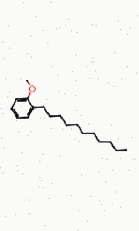 CCCCCCCCCCCc1ccccc1OC